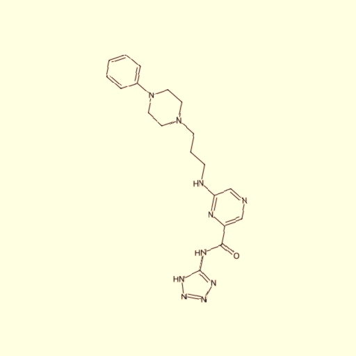 O=C(Nc1nnn[nH]1)c1cncc(NCCCN2CCN(c3ccccc3)CC2)n1